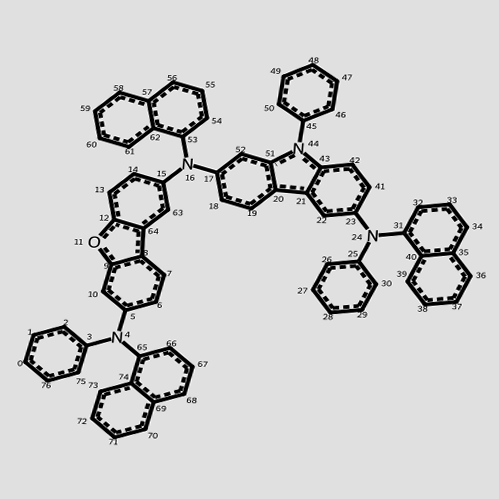 c1ccc(N(c2ccc3c(c2)oc2ccc(N(c4ccc5c6cc(N(c7ccccc7)c7cccc8ccccc78)ccc6n(-c6ccccc6)c5c4)c4cccc5ccccc45)cc23)c2cccc3ccccc23)cc1